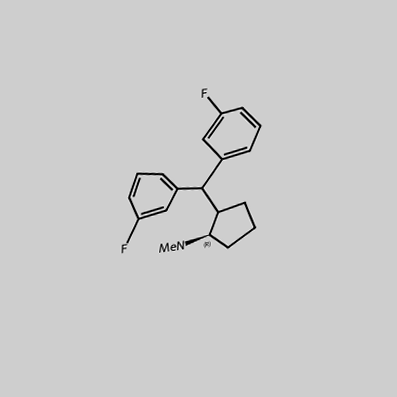 CN[C@@H]1CCCC1C(c1cccc(F)c1)c1cccc(F)c1